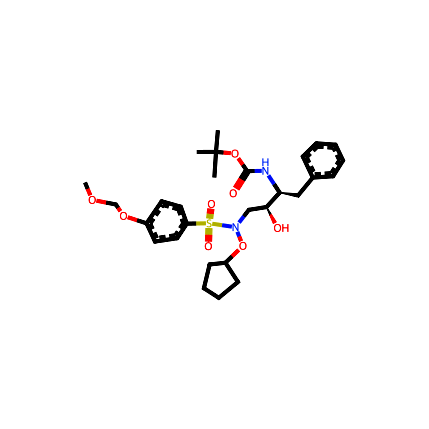 COCOc1ccc(S(=O)(=O)N(C[C@H](O)[C@H](Cc2ccccc2)NC(=O)OC(C)(C)C)OC2CCCC2)cc1